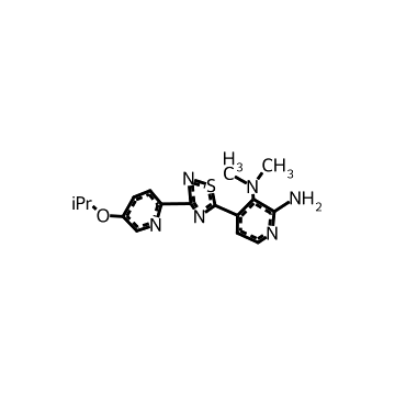 CC(C)Oc1ccc(-c2nsc(-c3ccnc(N)c3N(C)C)n2)nc1